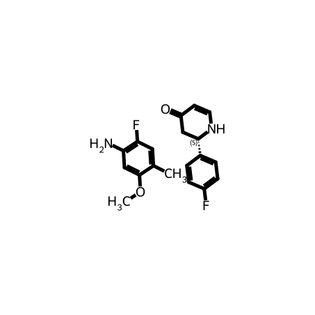 COc1cc(N)c(F)cc1C.O=C1C=CN[C@H](c2ccc(F)cc2)C1